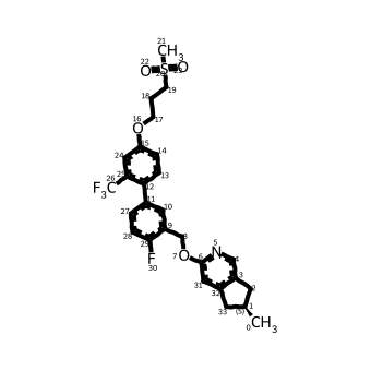 C[C@@H]1Cc2cnc(OCc3cc(-c4ccc(OCCCS(C)(=O)=O)cc4C(F)(F)F)ccc3F)cc2C1